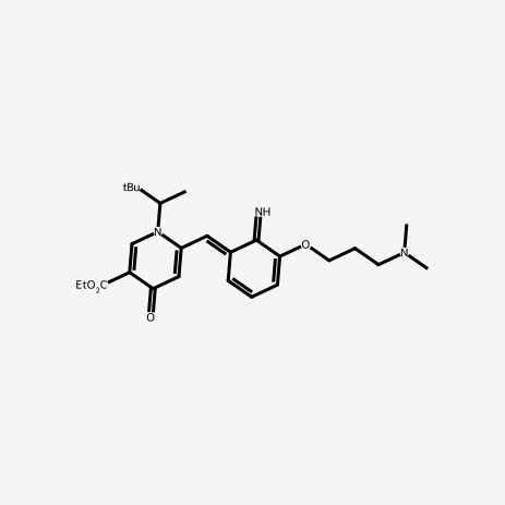 CCOC(=O)c1cn(C(C)C(C)(C)C)c(/C=C2\C=CC=C(OCCCN(C)C)C2=N)cc1=O